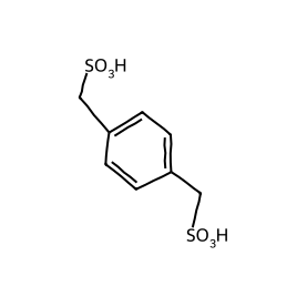 O=S(=O)(O)Cc1ccc(CS(=O)(=O)O)cc1